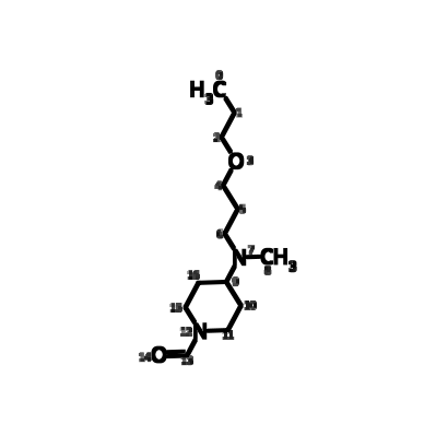 CCCOCCCN(C)C1CCN(C=O)CC1